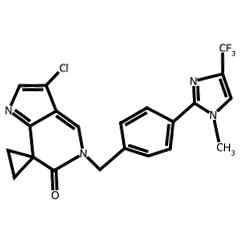 Cn1cc(C(F)(F)F)nc1-c1ccc(CN2C=C3C(Cl)=CN=C3C3(CC3)C2=O)cc1